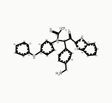 NCc1ccc(C(C(=O)c2nc3ccccc3s2)N(C(=O)C(F)(F)F)c2ccc(Oc3ccccc3)cc2)cc1